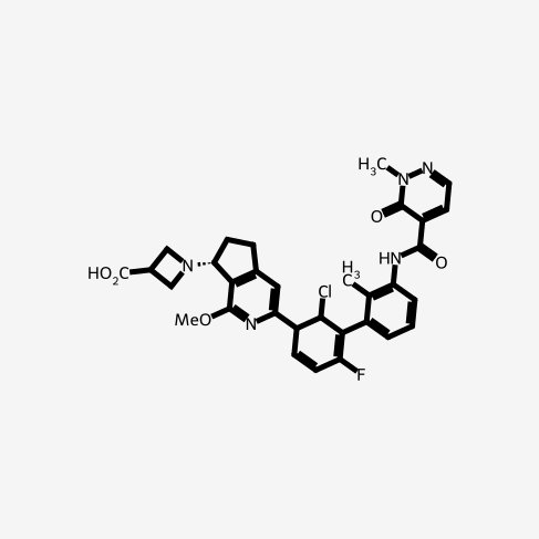 COc1nc(C2C=CC(F)=C(c3cccc(NC(=O)c4ccnn(C)c4=O)c3C)C2Cl)cc2c1[C@H](N1CC(C(=O)O)C1)CC2